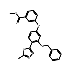 COC(=O)c1cccc(Oc2ccc(-c3nnc(C)o3)c(OCc3ccccc3)c2)c1